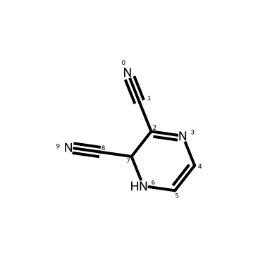 N#CC1=NC=CNC1C#N